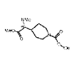 CN[C@@H](C(=O)OC)C1CCN(C(=O)OC(C)(C)C)CC1